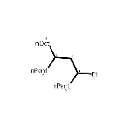 CCCCCCCCC([CH]C(CC)CCCCC)CCCCC